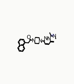 C=C1C=CC(N2CCN(C(=O)Cc3cccc4ccccc34)CC2)=NN1/C(C)=N\C